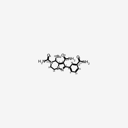 CC(C)(C)C1c2c(C(N)=O)c(-c3cccc(C(N)=O)c3)nn2CCN1C(N)=O